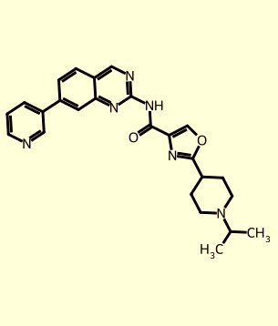 CC(C)N1CCC(c2nc(C(=O)Nc3ncc4ccc(-c5cccnc5)cc4n3)co2)CC1